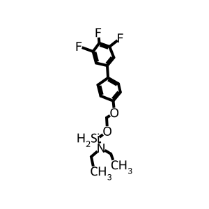 CCN(CC)[SiH2]OCOc1ccc(-c2cc(F)c(F)c(F)c2)cc1